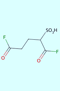 O=C(F)CCC(C(=O)F)S(=O)(=O)O